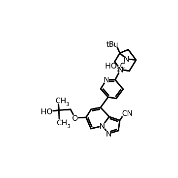 CC(C)(O)COc1cc(-c2ccc(N3CC4CC(C(C)(C)C)(C3)N4C(=O)O)nc2)c2c(C#N)cnn2c1